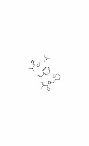 C=C(C)C(=O)OCC1CCCO1.C=C(C)C(=O)OCCN(C)C.C=Cc1ccncc1